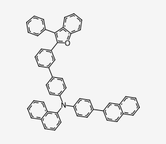 c1ccc(-c2c(-c3cccc(-c4ccc(N(c5ccc(-c6ccc7ccccc7c6)cc5)c5cccc6ccccc56)cc4)c3)oc3ccccc23)cc1